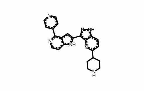 c1cc(-c2nccc3[nH]c(-c4n[nH]c5ccc(C6CCNCC6)nc45)cc23)ccn1